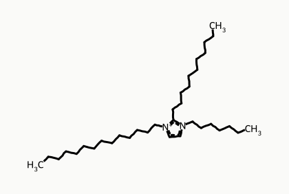 CCCCCCCCCCCCCC[n+]1ccn(CCCCCCC)c1CCCCCCCCCCC